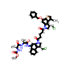 Cc1csc2c(OCc3ccccc3)cc3c(c12)[C@H](CCl)CN3C(=O)CCCC(=O)N1C[C@@H](CCl)c2c1cc(NC(=O)[C@H](C)NC(=O)[C@@H](NC(=O)OC(C)(C)C)C(C)C)c1ccccc21